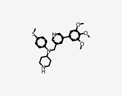 COc1cc(-c2cncc(CN(c3ccc(SC)cc3)C3CCNCC3)c2)cc(OC)c1OC